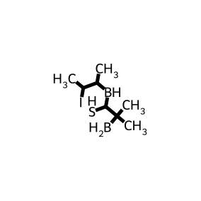 BC(C)(C)C(S)BC(C)C(C)I